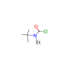 CCN(C(=O)Cl)C(C)(C)C